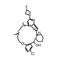 CN1CCOc2ccc(Cl)cc2C(O)N2CCCC[C@H]2c2cc3nc(N4CC(F)C4)cc(n3n2)N(C)CC1